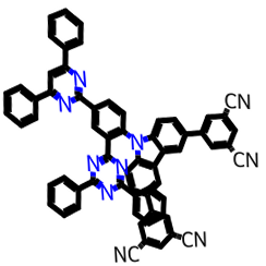 N#Cc1cc(C#N)cc(-c2ccc3c(c2)c2cc(-c4cc(C#N)cc(C#N)c4)ccc2n3-c2ccc(-c3nc(-c4ccccc4)cc(-c4ccccc4)n3)cc2-c2nc(-c3ccccc3)nc(-c3ccccc3)n2)c1